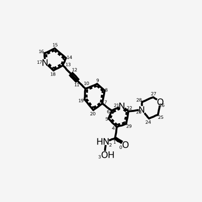 O=C(NO)c1cc(-c2ccc(C#Cc3cccnc3)cc2)nc(N2CCOCC2)c1